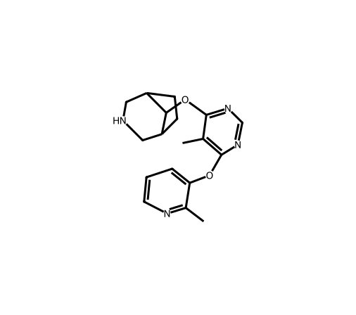 Cc1ncccc1Oc1ncnc(OC2C3CCC2CNC3)c1C